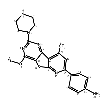 CCOc1nc(N2CCNCC2)nc2c1sc1nc(-c3ccc(N)cc3)cc(C(F)(F)F)c12